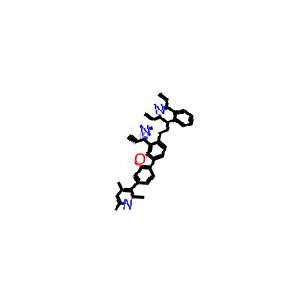 C=CC1=NC(C=C)C(CCc2ccc3c(oc4cc(-c5c(C)cc(C)nc5C)ccc43)c2/C(C=C)=N\C)c2ccccc21